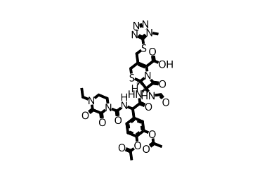 CCN1CCN(C(=O)NC(C(=O)N[C@]2(NC=O)C(=O)N3C(C(=O)O)=C(CSc4nnnn4C)CS[C@@H]32)c2ccc(OC(C)=O)c(OC(C)=O)c2)C(=O)C1=O